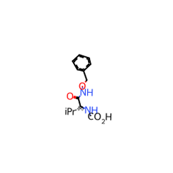 CC(C)[C@@H](NC(=O)O)C(=O)NOCc1ccccc1